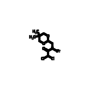 CC(C)N(CC1OCC(C)(C)CO1)C(=O)C(Cl)Cl